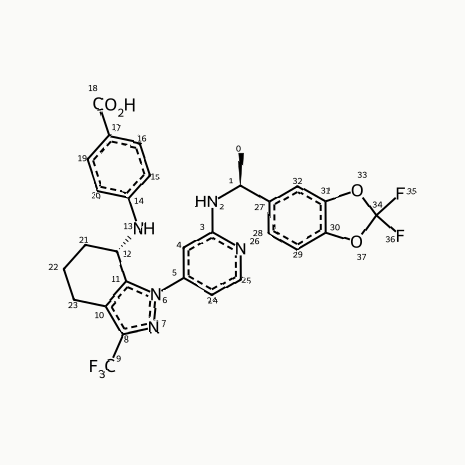 C[C@H](Nc1cc(-n2nc(C(F)(F)F)c3c2[C@@H](Nc2ccc(C(=O)O)cc2)CCC3)ccn1)c1ccc2c(c1)OC(F)(F)O2